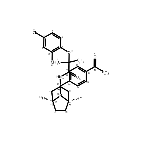 CC(C)(Oc1ccc(Cl)cc1Cl)C(=O)N[C@H]1C[C@H]2CC[C@@H](C1)N2Cc1ccc(C(N)=O)cc1